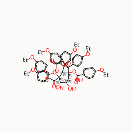 CCOc1ccc(C(=O)O[C@@]2(C(=O)c3ccc(OCC)cc3)[C@@](OC(=O)c3ccc(OCC)cc3)(C(=O)c3ccc(OCC)cc3)[C@@H](O)[C@H](O)[C@@H](O)[C@@]2(OC(=O)c2ccc(OCC)cc2)C(=O)c2ccc(OCC)cc2)cc1